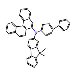 CC1(C)c2ccccc2-c2ccc(N(c3ccc(-c4ccccc4)cc3)c3cc4ccccc4c4c3ccc3ccccc34)cc21